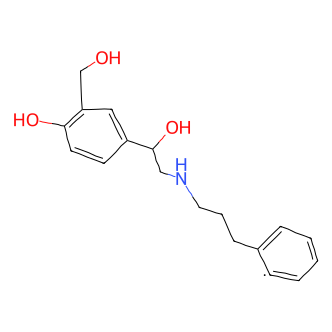 OCc1cc(C(O)CNCCCc2[c]cccc2)ccc1O